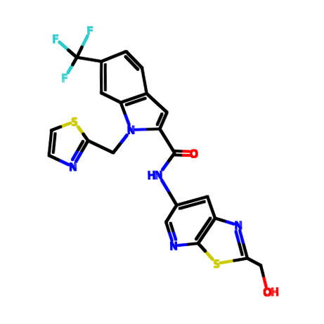 O=C(Nc1cnc2sc(CO)nc2c1)c1cc2ccc(C(F)(F)F)cc2n1Cc1nccs1